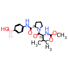 COC(=O)N[C@H](C(=O)N1CCC[C@H]1C(=O)Nc1ccc(BO)cc1)C(C)C